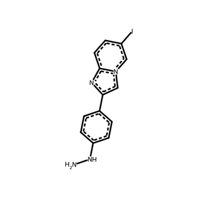 NNc1ccc(-c2cn3cc(I)ccc3n2)cc1